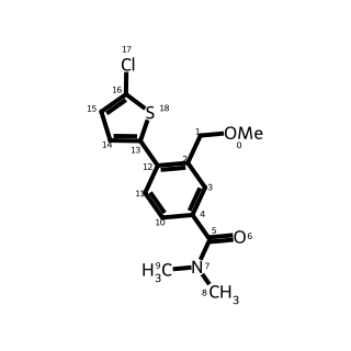 COCc1cc(C(=O)N(C)C)ccc1-c1ccc(Cl)s1